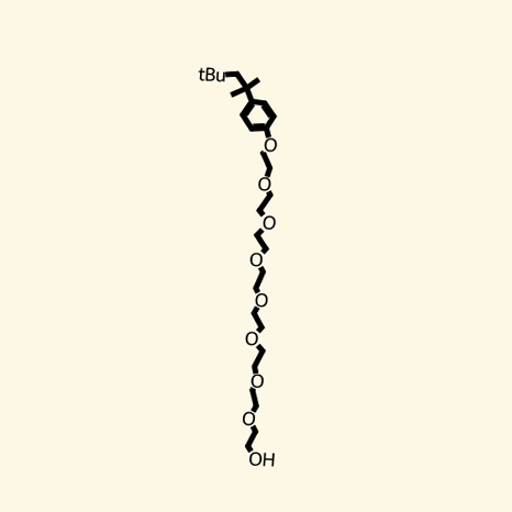 CC(C)(C)CC(C)(C)c1ccc(OCCOCCOCCOCCOCCOCCOCCOCCO)cc1